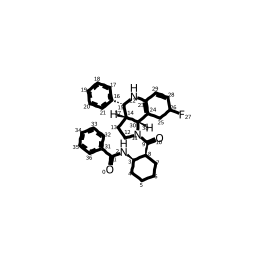 O=C(N[C@@H]1CCCC[C@@H]1C(=O)N1CC[C@@H]2[C@H](c3ccccc3)NC3=C(CC(F)C=C3)[C@@H]21)c1ccccc1